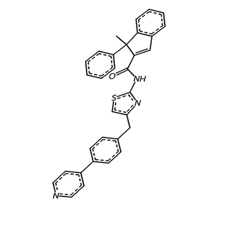 CC1(c2ccccc2)C(C(=O)Nc2nc(Cc3ccc(-c4ccncc4)cc3)cs2)=Cc2ccccc21